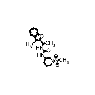 Cc1c([C@H](C)NC(=O)NC2CCCN(S(C)(=O)=O)C2)oc2ccccc12